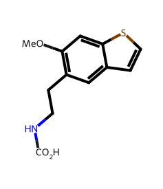 COc1cc2sccc2cc1CCNC(=O)O